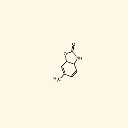 CC1=CC2OC(=O)NC2C=C1